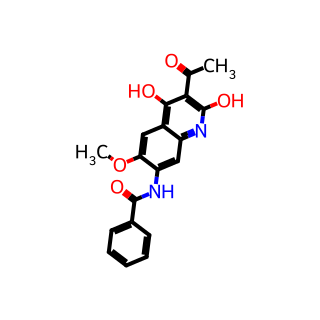 COc1cc2c(O)c(C(C)=O)c(O)nc2cc1NC(=O)c1ccccc1